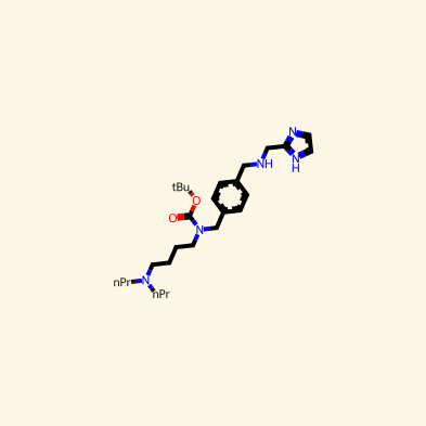 CCCN(CCC)CCCCN(Cc1ccc(CNCc2ncc[nH]2)cc1)C(=O)OC(C)(C)C